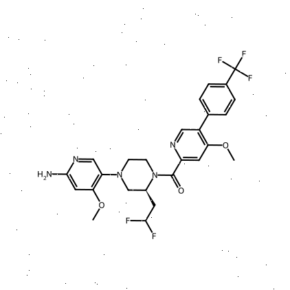 COc1cc(C(=O)N2CCN(c3cnc(N)cc3OC)C[C@@H]2CC(F)F)ncc1-c1ccc(C(F)(F)F)cc1